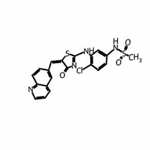 CS(=O)(=O)Nc1ccc(Cl)c(NC2=NC(=O)C(=Cc3ccc4ncccc4c3)S2)c1